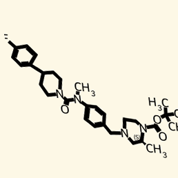 C[C@H]1CN(Cc2ccc(N(C)C(=O)N3CCC(c4ccc(F)cc4)CC3)cc2)CCN1C(=O)OC(C)(C)C